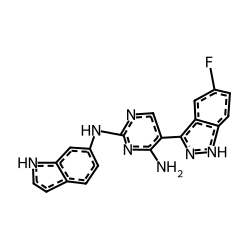 Nc1nc(Nc2ccc3cc[nH]c3c2)ncc1-c1n[nH]c2ccc(F)cc12